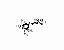 CC1(C)CC(OCCC[Si](C)(O)O)CC(C)(C)N1